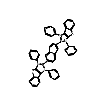 c1ccc(N2B(c3ccc4cc(B5N(c6ccccc6)c6sc7ccccc7c6N5c5ccccc5)ccc4c3)N(c3ccccc3)c3c2sc2ccccc32)cc1